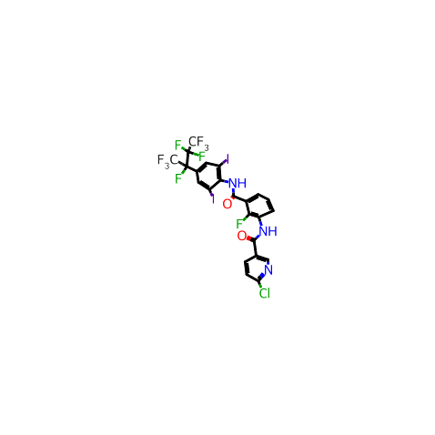 O=C(Nc1cccc(C(=O)Nc2c(I)cc(C(F)(C(F)(F)F)C(F)(F)C(F)(F)F)cc2I)c1F)c1ccc(Cl)nc1